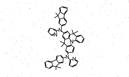 CC1(C)c2ccccc2-c2ccc(N(c3ccc4c(c3)C(C)(C)c3cc(N(c5ccc6c(c5)C(C)(C)c5ccccc5-6)c5ccccn5)cc5c3N4c3ccccc3C5(C)C)c3ccccn3)cc21